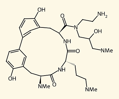 CNCCC[C@@H]1NC(=O)[C@@H](NC)Cc2cc(ccc2O)-c2ccc(O)c(c2)C[C@@H](C(=O)N(CCN)CC(O)CNC)NC1=O